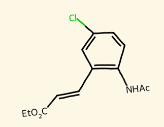 CCOC(=O)C=Cc1cc(Cl)ccc1NC(C)=O